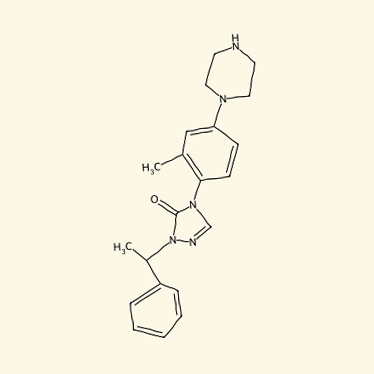 Cc1cc(N2CCNCC2)ccc1-n1cnn(C(C)c2ccccc2)c1=O